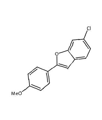 COc1ccc(-c2[c]c3ccc(Cl)cc3o2)cc1